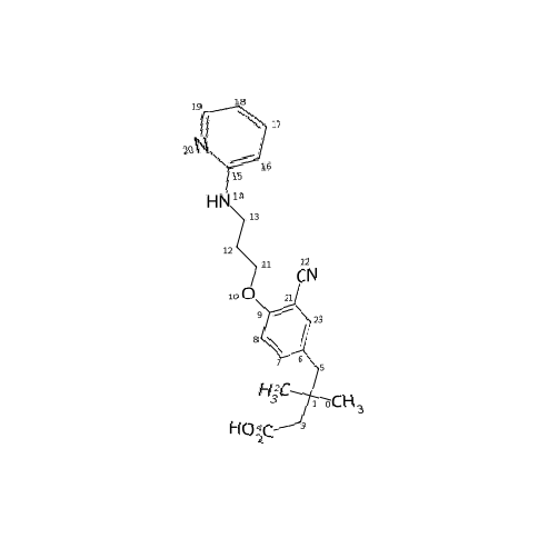 CC(C)(CC(=O)O)Cc1ccc(OCCCNc2ccccn2)c(C#N)c1